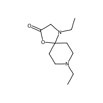 CCN1CCC2(CC1)OC(=O)CN2CC